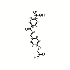 O=C(O)COc1ccc(/C=C/C(=O)c2ccc(C(=O)O)cc2)cc1